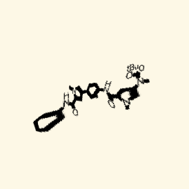 CN(C(=O)OC(C)(C)C)c1cc(C(=O)Nc2ccc(-c3cc(C(=O)Nc4ccccc4)n(C)c3)cc2)n(C)c1